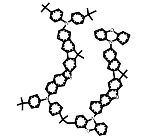 CC(C)(C)c1ccc(N(c2ccc(C(C)(C)C)cc2)c2ccc3cc4c(cc3c2)C(C)(C)c2cc3sc5cc6cc(N(c7ccc(C(C)(C)C)cc7)c7ccc(C(C)(C)Cc8ccc9c(c8)Oc8ccccc8N9c8ccc9cc%10c(cc9c8)oc8cc9c(cc8%10)-c8cc%10ccc(N%11c%12ccccc%12Oc%12ccccc%12%11)cc%10cc8C9(C)C)cc7)ccc6cc5c3cc2-4)cc1